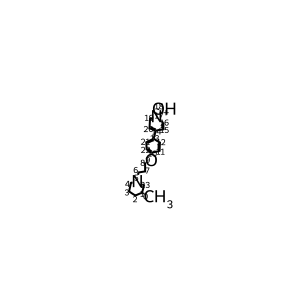 C[C@H]1CCCN(CCCOc2ccc(-c3cc[n+](O)cc3)cc2)C1